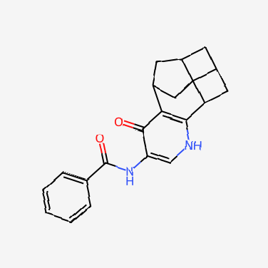 O=C(Nc1c[nH]c2c(c1=O)C1CC3CC4CC2C34C1)c1ccccc1